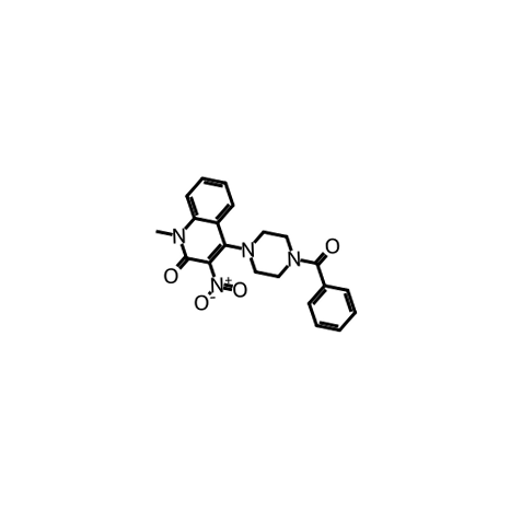 Cn1c(=O)c([N+](=O)[O-])c(N2CCN(C(=O)c3ccccc3)CC2)c2ccccc21